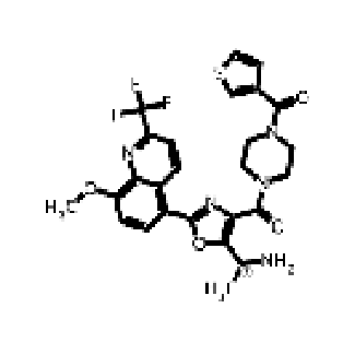 COc1ccc(-c2nc(C(=O)N3CCN(C(=O)c4ccsc4)CC3)c([C@H](C)N)o2)c2ccc(C(F)(F)F)nc12